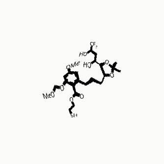 COCOc1cc(OC)cc(CCC[C@@H]2OC(C)(C)O[C@@H]2C(O)CC(O)C(F)(F)F)c1C(=O)OCCS